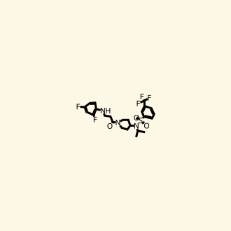 CC(C)N(C1CCN(C(=O)CCNc2ccc(F)cc2F)CC1)S(=O)(=O)c1cccc(C(F)(F)F)c1